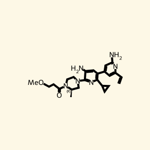 C=Cc1cc(-c2cc(N)c(N3CCN(C(=O)CCOC)[C@H](C)C3)nc2C2CC2)cc(N)n1